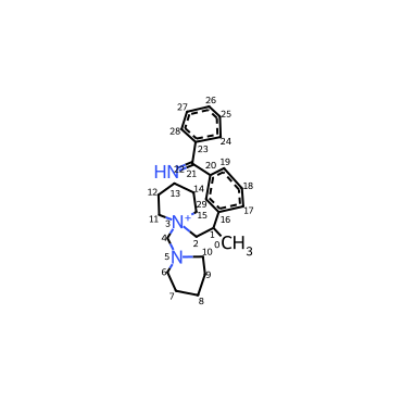 CC(C[N+]1(CN2CCCCC2)CCCCC1)c1cccc(C(=N)c2ccccc2)c1